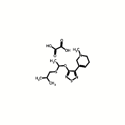 CC(C)CSC(C)Oc1nsnc1C1=CCCN(C)C1.O=C(O)C(=O)O